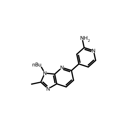 CCCCn1c(C)nc2ccc(-c3ccnc(N)c3)nc21